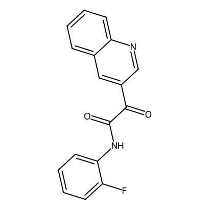 O=C(Nc1ccccc1F)C(=O)c1cnc2ccccc2c1